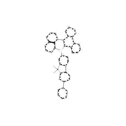 CC1(C)c2cc(-c3ccccc3)ccc2-c2ccc(N(c3ccccc3)c3c(-c4ccccc4)c4ccccc4c4ccccc34)cc21